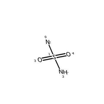 [N]S([NH])(=O)=O